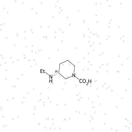 CCN[C@@H]1CCCN(C(=O)O)C1